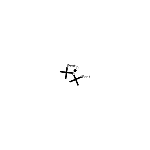 CCCC(C)C(C)(C)[P](=O)C(C)(C)C(C)CCC